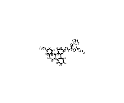 CCOC(COc1ccc(C2c3ccc(O)cc3CC[C@H]2c2ccccc2)cc1)OCC